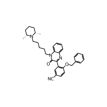 C[C@@H]1CCC[C@H](C)N1CCCCCn1c(=O)c(-c2cc(C#N)ccc2OCc2ccccc2)nc2ccccc21